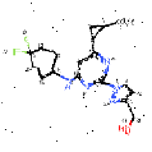 O=C(O)C1CC1c1cc(NC2CCC(F)(F)CC2)nc(-n2ccc(CO)n2)n1